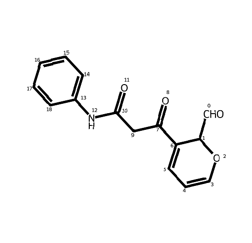 O=CC1OC=CC=C1C(=O)CC(=O)Nc1ccccc1